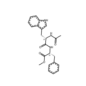 COC(=O)[C@@H](Cc1ccccc1)NC(=O)[C@H](Cc1c[nH]c2ccccc12)NC(C)=O